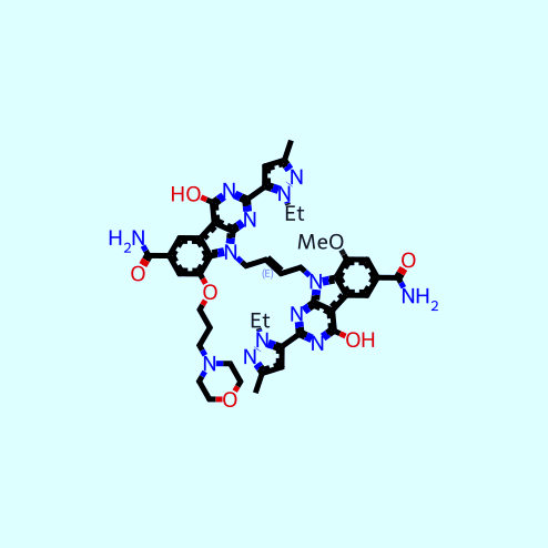 CCn1nc(C)cc1-c1nc(O)c2c3cc(C(N)=O)cc(OC)c3n(C/C=C/Cn3c4nc(-c5cc(C)nn5CC)nc(O)c4c4cc(C(N)=O)cc(OCCCN5CCOCC5)c43)c2n1